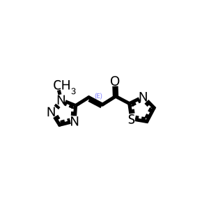 Cn1ncnc1/C=C/C(=O)c1nccs1